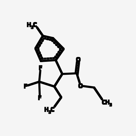 CCOC(=O)C(c1ccc(C)cc1)C(CC)C(F)(F)F